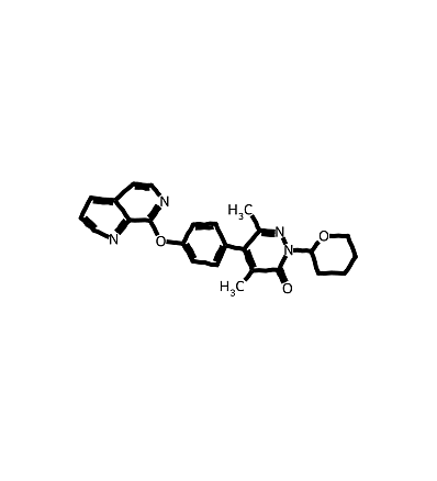 Cc1nn(C2CCCCO2)c(=O)c(C)c1-c1ccc(Oc2nccc3cccnc23)cc1